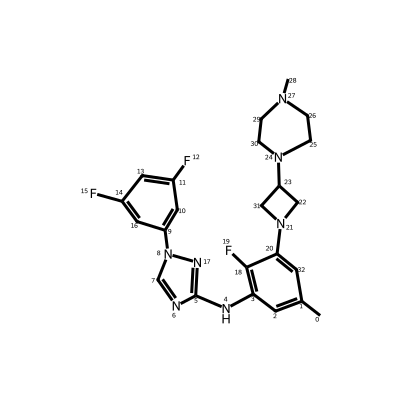 Cc1cc(Nc2ncn(-c3cc(F)cc(F)c3)n2)c(F)c(N2CC(N3CCN(C)CC3)C2)c1